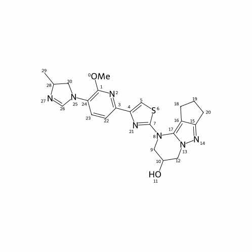 COc1nc(-c2csc(N3CC(O)Cn4nc5c(c43)CCC5)n2)ccc1N1C=NC(C)C1